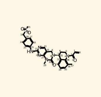 C=CC(=O)N1CC[C@H](N2Cc3cnc(Nc4ccc(CS(C)(=O)=O)cc4)nc3N(C)C2=O)c2cccc(C)c21